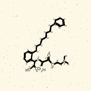 CC(SC(c1ccccc1CCCCCCCCc1ccccc1)C(O)C(=O)O)C(=O)OCCN(C)C